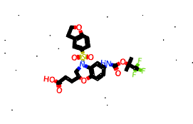 CC(C)(OC(=O)Nc1ccc2c(c1)N(S(=O)(=O)c1ccc3c(c1)CCO3)CC(CCC(=O)O)O2)C(F)(F)F